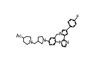 CC(=O)C1CCN(CC2CCN(c3ccc4c(c3)Cn3cc(-c5ccc(F)cc5)cc3-c3nccn3-4)C2)CC1